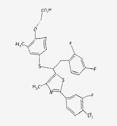 Cc1cc(SC(Cc2ccc(F)cc2F)c2sc(-c3ccc(C(F)(F)F)c(F)c3)nc2C)ccc1OCC(=O)O